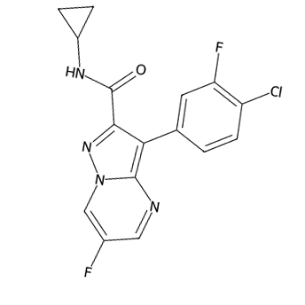 O=C(NC1CC1)c1nn2cc(F)cnc2c1-c1ccc(Cl)c(F)c1